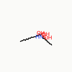 CCCCCCCCCCCCCCCC(O)C(CO)NC(=O)CC(O)CCCCCCC